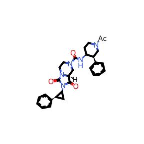 CC(=O)N1CC[C@H](NC(=O)N2CCN3C(=O)N([C@H]4C[C@@H]4c4ccccc4)C(=O)[C@@H]3C2)[C@H](c2ccccc2)C1